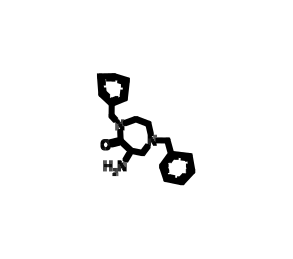 NC1CN(Cc2ccccc2)CCN(Cc2ccccc2)C1=O